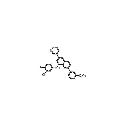 COc1cccc(-c2ccc3cc(-c4cccnc4)nc(Nc4ccc(F)c(Cl)c4)c3c2)c1